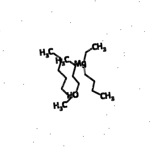 CCCCCCC.CCCCO.CCC[CH2][Mg][CH2]C